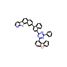 c1ccc(-c2nc(-c3ccc(-c4ccc5ccc6c7cccnc7sc6c5c4)c4ccccc34)nc(-c3cccc4oc5ccccc5c34)n2)cc1